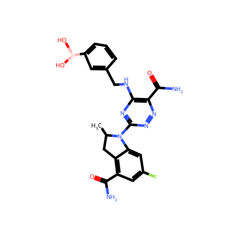 CC1Cc2c(C(N)=O)cc(F)cc2N1c1nnc(C(N)=O)c(NCc2cccc(B(O)O)c2)n1